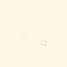 c1cc(-c2ccc(Oc3ccc(OC4CCCOC4)cc3)cc2)[nH]n1